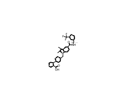 Cc1c(C)n(Cc2ccc(-c3ccccc3C(=O)O)cc2)c2ccc(C(=O)N[C@@H](C)c3cccc(C(F)(F)F)c3)cc12